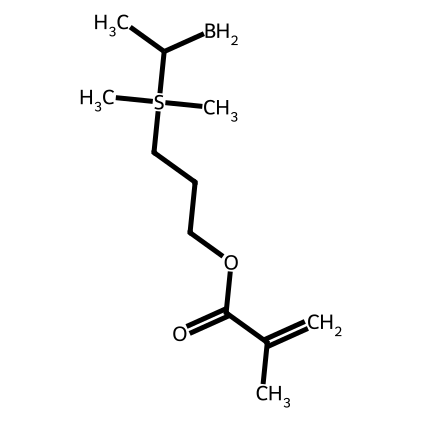 BC(C)S(C)(C)CCCOC(=O)C(=C)C